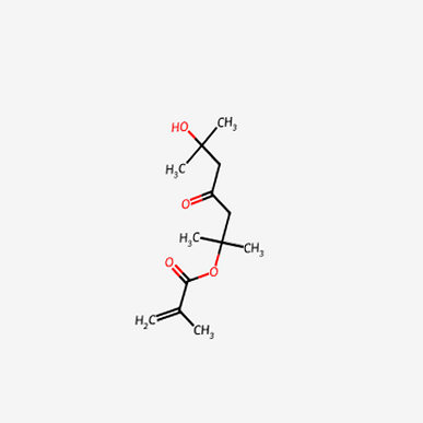 C=C(C)C(=O)OC(C)(C)CC(=O)CC(C)(C)O